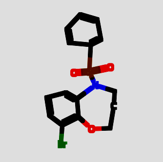 O=S(=O)(c1ccccc1)N1CCCOc2c(Br)cccc21